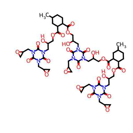 CC1CCC(C(=O)OCC(O)Cn2c(=O)n(CC3CO3)c(=O)n(CC3CO3)c2=O)C(C(=O)OCC(O)Cn2c(=O)n(CC(O)COC(=O)C3CCC(C)CC3C(=O)OCC(O)Cn3c(=O)n(CC4CO4)c(=O)n(CC4CO4)c3=O)c(=O)n(CC3CO3)c2=O)C1